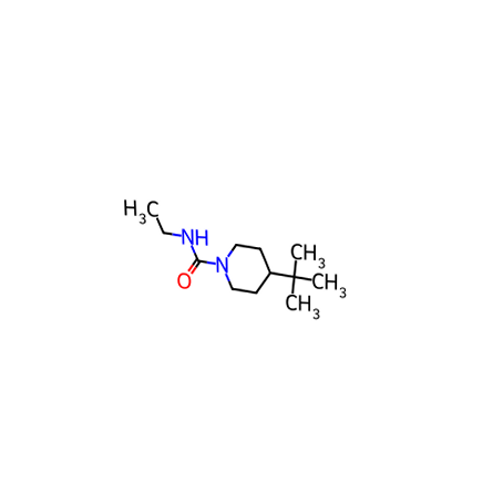 CCNC(=O)N1CCC(C(C)(C)C)CC1